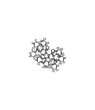 c1ccc(N(c2ccccc2)c2cc3c(c4oc5ccccc5c24)-c2c(cc(N(c4ccccc4)c4ccccc4)c4c2oc2ccccc24)C3(c2ccccc2)c2ccccc2)cc1